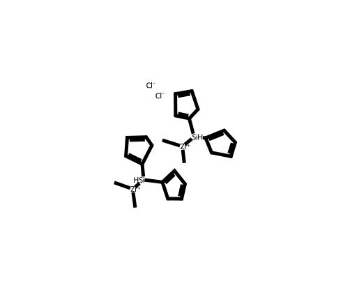 [CH3][Zr+]([CH3])[SiH](C1=CC=CC1)C1=CC=CC1.[CH3][Zr+]([CH3])[SiH](C1=CC=CC1)C1=CC=CC1.[Cl-].[Cl-]